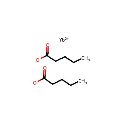 CCCCC(=O)[O-].CCCCC(=O)[O-].[Yb+2]